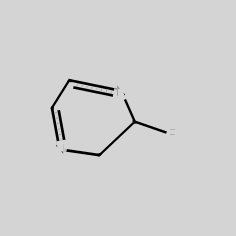 CCC1CN=CC=N1